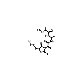 [3H]SOSC1CC(=O)N(C(=C)C(=O)NC(C)NC(=O)C(C)OCC)C1=O